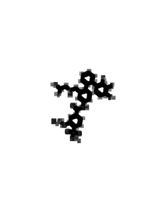 COc1cc(C(=O)Nc2ccc(-c3ccccc3-c3ccc(F)c(F)c3F)c(CNCC(F)F)c2)ccc1S(N)(=O)=O